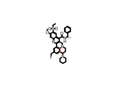 CCS(=O)(=O)c1cc2c(C(=O)N[C@@H](C)c3ccccc3)c(CN3CCC(N4CCCCC4)CC3)c(-c3cccc(CF)c3)nc2cc1OC